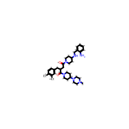 CCc1ccc(CC(CC(=O)N2CCC(NCc3ccccc3N)CC2)C(=O)N2CCC(N3CCN(C)CC3)CC2)cc1CC